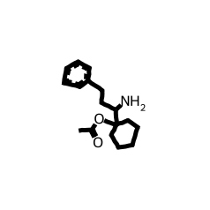 CC(=O)OC1(C(N)CCc2ccccc2)CCCCC1